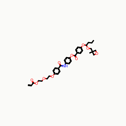 C=CC(=O)OCCOCCOc1ccc(C(=O)Nc2ccc(OC(=O)c3ccc(OC(CCC)OCC4(C)COC4)cc3)cc2)cc1